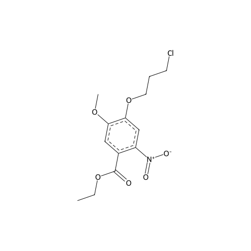 CCOC(=O)c1cc(OC)c(OCCCCl)cc1[N+](=O)[O-]